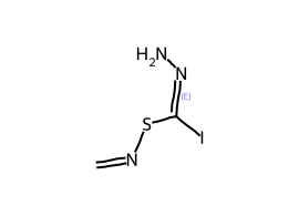 C=NS/C(I)=N\N